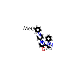 COc1cccc(N2CCC(n3ccc(=O)c(-c4ccnn4-c4ccccc4)n3)CC2)c1